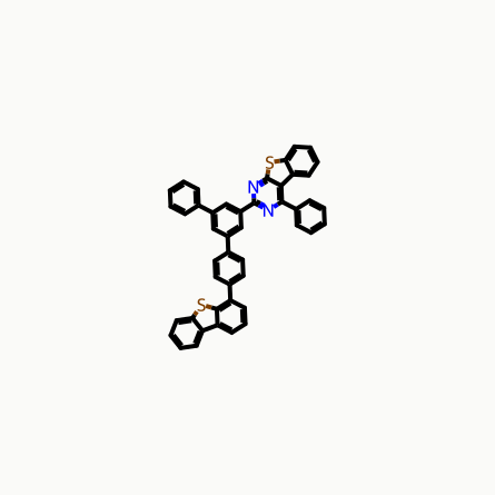 c1ccc(-c2cc(-c3ccc(-c4cccc5c4sc4ccccc45)cc3)cc(-c3nc(-c4ccccc4)c4c(n3)sc3ccccc34)c2)cc1